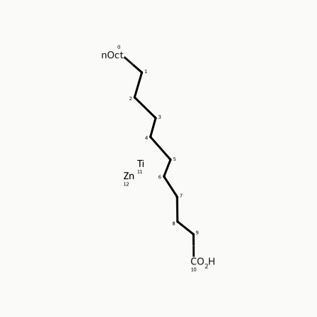 CCCCCCCCCCCCCCCCCC(=O)O.[Ti].[Zn]